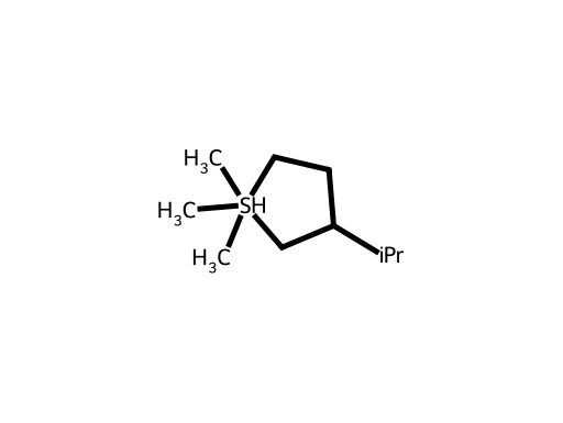 CC(C)C1CC[SH](C)(C)(C)C1